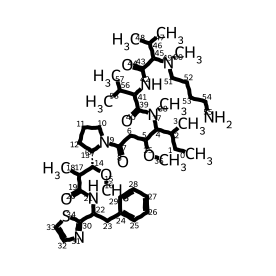 CCC(C)C(C(CC(=O)N1CCC[C@H]1C(OC)C(C)C(=O)NC(Cc1ccccc1)c1nccs1)OC)N(C)C(=O)C(NC(=O)C(C(C)C)N(C)CCCCN)C(C)C